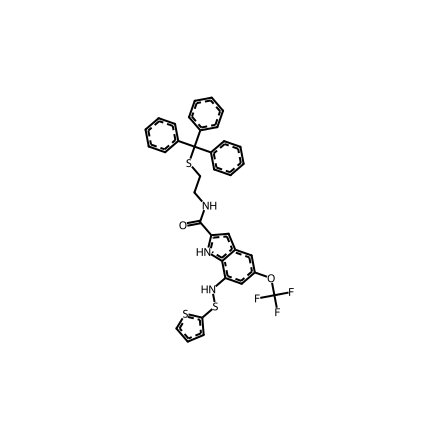 O=C(NCCSC(c1ccccc1)(c1ccccc1)c1ccccc1)c1cc2cc(OC(F)(F)F)cc(NSc3cccs3)c2[nH]1